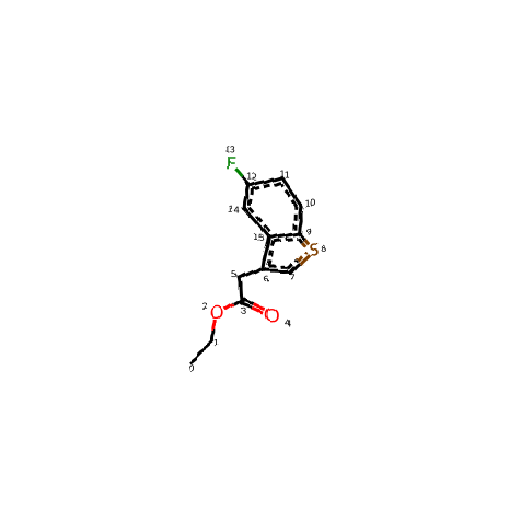 CCOC(=O)Cc1csc2ccc(F)cc12